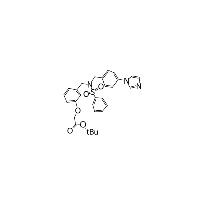 CC(C)(C)OC(=O)COc1cccc(CN(Cc2ccc(-n3ccnc3)cc2)S(=O)(=O)c2ccccc2)c1